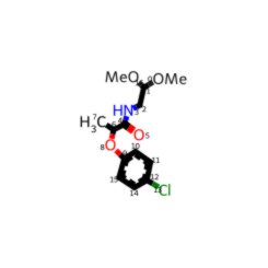 COC(CNC(=O)C(C)Oc1ccc(Cl)cc1)OC